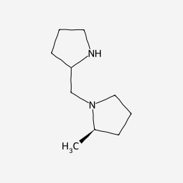 C[C@@H]1CCCN1CC1CCCN1